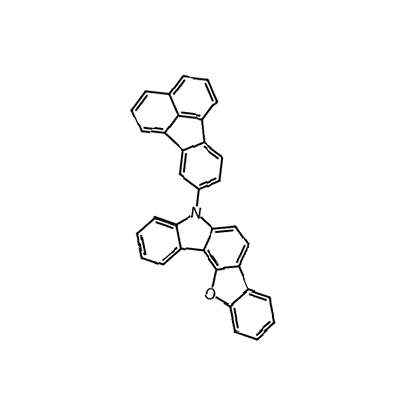 c1cc2c3c(cccc3c1)-c1cc(-n3c4ccccc4c4c5oc6ccccc6c5ccc43)ccc1-2